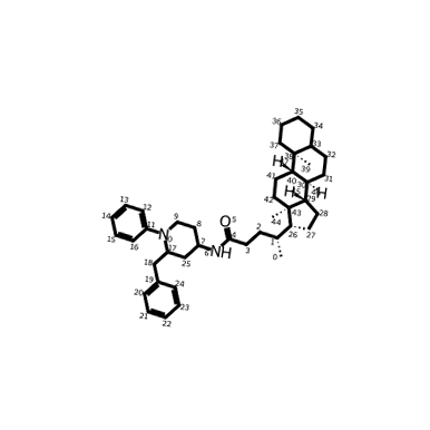 C[C@H](CCC(=O)NC1CCN(c2ccccc2)C(Cc2ccccc2)C1)[C@H]1CC[C@H]2[C@@H]3CCC4CCCC[C@]4(C)[C@H]3CC[C@]12C